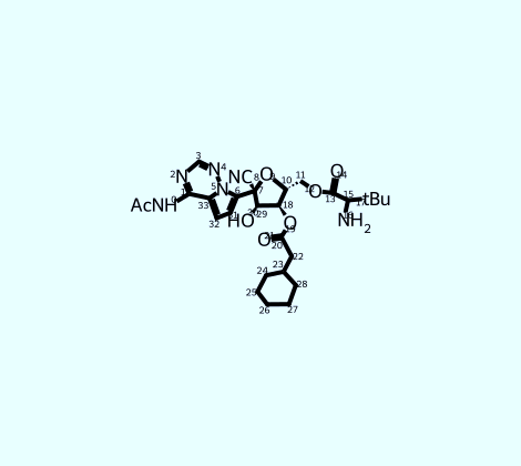 CC(=O)Nc1ncnn2c([C@]3(C#N)O[C@H](COC(=O)C(N)C(C)(C)C)[C@@H](OC(=O)CC4CCCCC4)[C@H]3O)ccc12